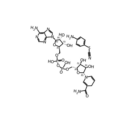 N#CSc1ccc(N)cc1.NC(=O)C1=CN([C@@H]2O[C@H](COP(=O)(O)OP(=O)(O)OC[C@H]3O[C@@H](n4cnc5c(N)ncnc54)[C@H](O)[C@@H]3O)[C@@H](O)[C@H]2O)C=CC1